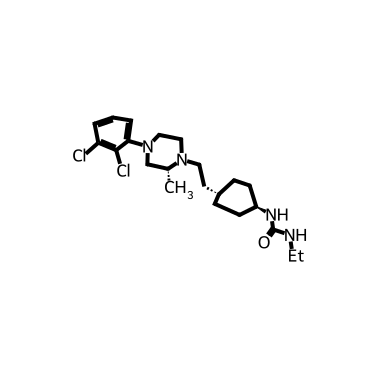 CCNC(=O)N[C@H]1CC[C@H](CCN2CCN(c3cccc(Cl)c3Cl)C[C@H]2C)CC1